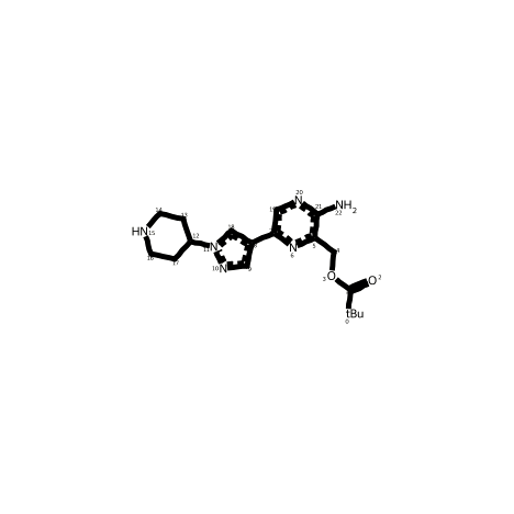 CC(C)(C)C(=O)OCc1nc(-c2cnn(C3CCNCC3)c2)cnc1N